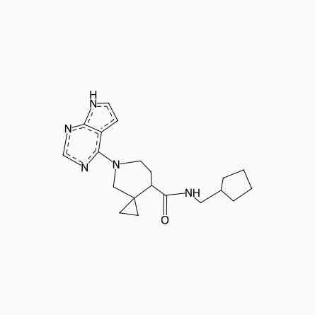 O=C(NCC1CCCC1)C1CCN(c2ncnc3[nH]ccc23)CC12CC2